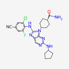 N#Cc1cc(F)c(Nc2nc3cnc(NC4CCCC4)nc3n2[C@H]2CC[C@H](C(N)=O)CC2)c(Cl)c1